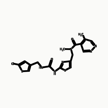 Cc1cnncc1C(=O)N(C)Cc1csc(NC(=O)NCc2csc(Cl)c2)n1